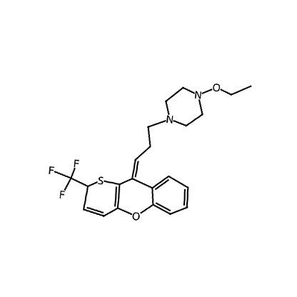 CCON1CCN(CCC=C2C3=C(C=CC(C(F)(F)F)S3)Oc3ccccc32)CC1